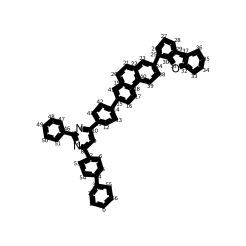 c1ccc(-c2ccc(-c3cc(-c4ccc(-c5ccc6c(ccc7cc(-c8cccc9c8oc8ccccc89)ccc76)c5)cc4)nc(-c4ccccc4)n3)cc2)cc1